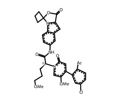 COCCC[C@@H](C(=O)Nc1ccc2c(c1)cc1n2C2(CCC2)OC1=O)n1cc(OC)c(-c2cc(Cl)ccc2C(C)=O)cc1=O